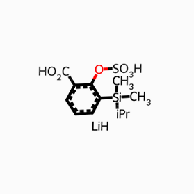 CC(C)[Si](C)(C)c1cccc(C(=O)O)c1OS(=O)(=O)O.[LiH]